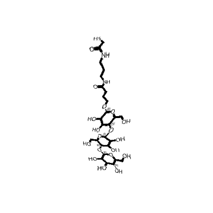 O=C(CS)NCCCNC(=O)CCCO[C@@H]1OC(CO)[C@@H](O[C@@H]2OC(CO)[C@H](O[C@H]3OC(CO)[C@H](O)C(O)C3O)C(O)C2O)C(O)C1O